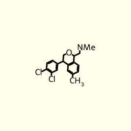 CNCC1OCC(c2ccc(Cl)c(Cl)c2)c2cc(C)ccc21